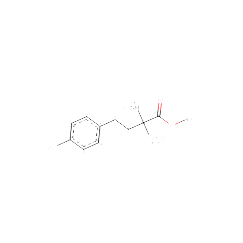 CCCCCCCCc1ccc(CCC(NC(C)=O)(C(=O)O)C(=O)OC(C)CC)cc1